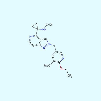 COc1cc(Cn2cc3c(C4(NC=O)CC4)nccc3n2)cnc1OCC(F)(F)F